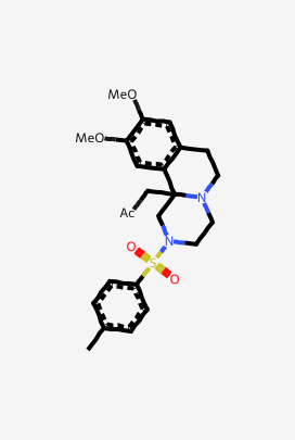 COc1cc2c(cc1OC)C1(CC(C)=O)CN(S(=O)(=O)c3ccc(C)cc3)CCN1CC2